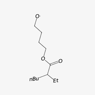 CCCCC(CC)C(=O)OCCCC[O]